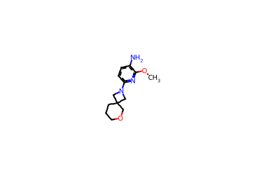 COc1nc(N2CC3(CCCOC3)C2)ccc1N